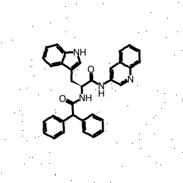 O=C(N[C@@H](Cc1c[nH]c2ccccc12)C(=O)Nc1cnc2ccccc2c1)C(c1ccccc1)c1ccccc1